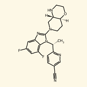 C[C@H](c1ccc(C#N)cn1)n1c(N2CC[C@@H]3OCCN[C@H]3C2)nc2cc(F)cc(F)c21